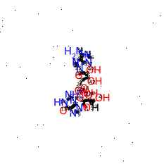 CO[C@]12C(O)[C@H]1O[C@@H](n1cnc3c(=O)[nH]c(N)nc31)[C@@H]2OP(=O)(O)OC[C@H]1O[C@@H](n2cnc3c(N)ncnc32)[C@H](O)[C@@H]1O